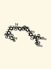 Cn1c(=O)n(C2CCC(=O)NC2=O)c2ccc(Cc3ccc(CC(=O)Nc4cccc(CS(=O)(=O)N5CC[C@H](Nc6cccc(-c7sc(C(=O)OC(C)(C)C)c(OCC(=O)OC(C)(C)C)c7Cl)c6)CC5(C)C)c4)cc3)cc21